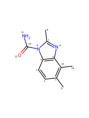 Cc1ccc2c(nc(C)n2C(N)=O)c1C